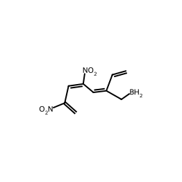 BC/C(C=C)=C/C(=C\C(=C)[N+](=O)[O-])[N+](=O)[O-]